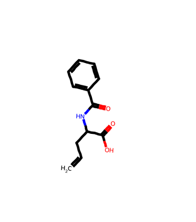 C=CCC(NC(=O)c1ccccc1)C(=O)O